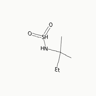 CCC(C)(C)N[SH](=O)=O